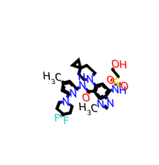 Cc1cc(NC(=O)c2c(N3CCC4(CC3)CC4)cc(NS(=O)(=O)CCO)c3ncn(C)c23)nc(N2CCC(F)(F)CC2)c1